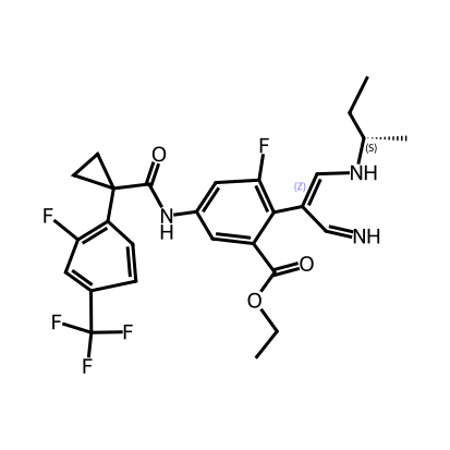 CCOC(=O)c1cc(NC(=O)C2(c3ccc(C(F)(F)F)cc3F)CC2)cc(F)c1/C(C=N)=C/N[C@@H](C)CC